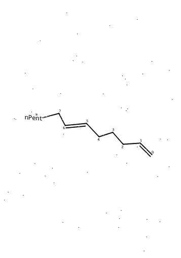 C=CCCCC=CCCCCCC